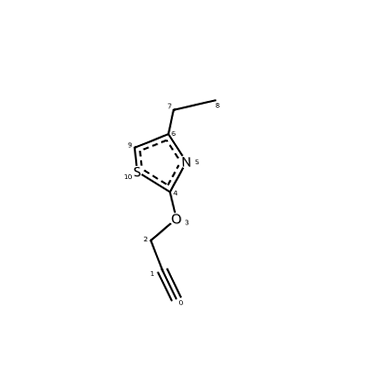 C#CCOc1nc(CC)cs1